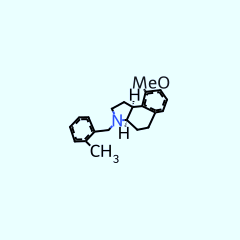 COc1cccc2c1[C@@H]1CCN(Cc3ccccc3C)[C@@H]1CC2